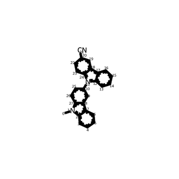 Cn1c2ccccc2c2cc(-n3c4ccccc4c4cc(C#N)ccc43)ccc21